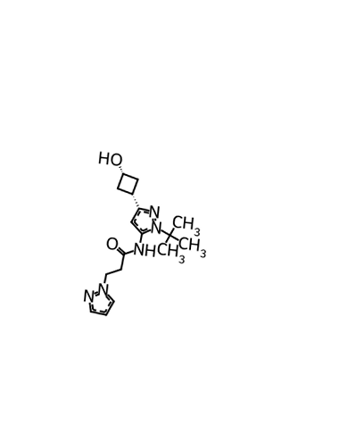 CC(C)(C)n1nc([C@H]2C[C@@H](O)C2)cc1NC(=O)CCn1cccn1